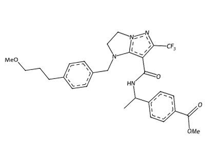 COCCCc1ccc(CN2CCn3nc(C(F)(F)F)c(C(=O)NC(C)c4ccc(C(=O)OC)cc4)c32)cc1